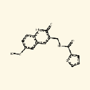 CCOc1ccc2[nH]c(=O)c(CNC(=O)c3ccco3)cc2c1